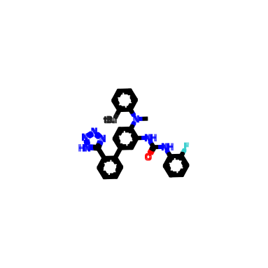 CN(c1ccc(-c2ccccc2-c2nnn[nH]2)cc1NC(=O)Nc1ccccc1F)c1ccccc1C(C)(C)C